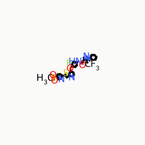 CS(=O)(=O)c1ccc(-c2cc3nccc(Oc4ccc(NC(=O)c5cnn(-c6ccccc6)c5C(F)(F)F)cc4F)c3s2)nc1